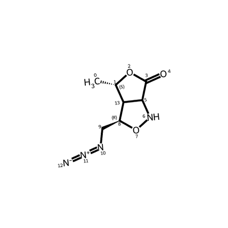 C[C@@H]1OC(=O)C2NO[C@@H](CN=[N+]=[N-])C21